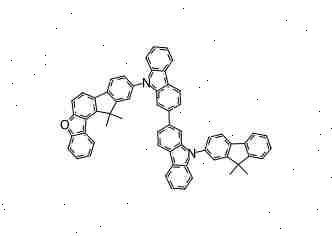 CC1(C)c2ccccc2-c2ccc(-n3c4ccccc4c4ccc(-c5ccc6c7ccccc7n(-c7ccc8c(c7)C(C)(C)c7c-8ccc8oc9ccccc9c78)c6c5)cc43)cc21